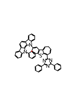 C1=CC(c2nc(-c3ccccc3)nc(-c3ccccc3)n2)=c2sc3ccc(-n4c5ccccc5c5ccc6c7ccccc7n(-c7ccccc7)c6c54)cc3c2=CC1